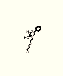 C[C@@H](CN(CCSCCC=O)C(=O)O)c1ccccc1